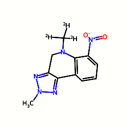 [2H]C([2H])([2H])N1Cc2nn(C)nc2-c2cccc([N+](=O)[O-])c21